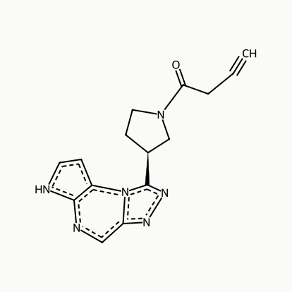 C#CCC(=O)N1CC[C@H](c2nnc3cnc4[nH]ccc4n23)C1